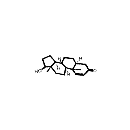 C[C@]12C=CC(=O)C[C@@H]1CC[C@@H]1[C@@H]2CC[C@]2(C)C(O)CC[C@@H]12